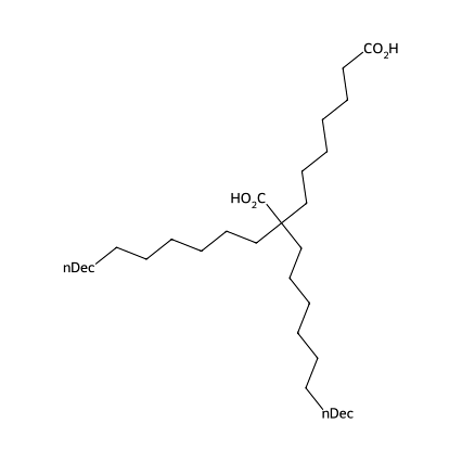 CCCCCCCCCCCCCCCCC(CCCCCCCCCCCCCCCC)(CCCCCCC(=O)O)C(=O)O